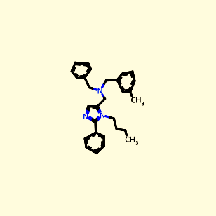 CCCCn1c(CN(Cc2ccccc2)Cc2cccc(C)c2)cnc1-c1ccccc1